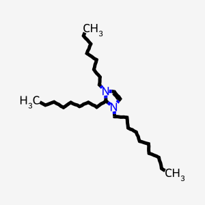 CCCCCCCCCCN1C=CN(CCCCCCCC)C1CCCCCCCC